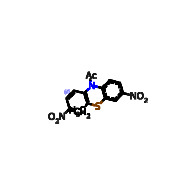 C=C(/C=C\C1=C(C)Sc2cc([N+](=O)[O-])ccc2N1C(C)=O)[N+](=O)[O-]